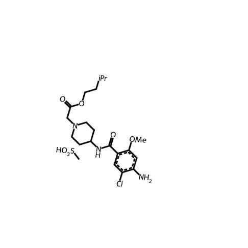 COc1cc(N)c(Cl)cc1C(=O)NC1CCN(CC(=O)OCCC(C)C)CC1.CS(=O)(=O)O